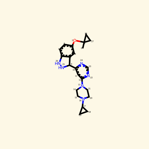 CC1(Oc2ccc3c(c2)C(c2cc(N4CCN(C5CC5)CC4)ncn2)NN3)CC1